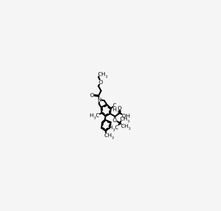 CCOCCC(=O)N1Cc2c(C)c(-c3ccc(C)cc3)c(C(OC(C)(C)C)C(=O)O)c(C)c2C1